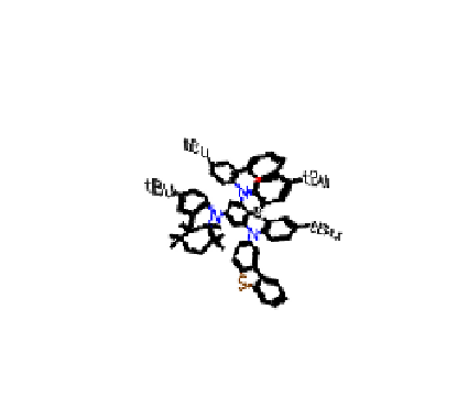 CC(C)(C)c1ccc2c(c1)B1c3cc(C(C)(C)C)ccc3N(c3ccc(C(C)(C)C)cc3-c3ccccc3)c3cc(N4c5ccc(C(C)(C)C)cc5C5(C)C(C)(C)CCC(C)(C)C45C)cc(c31)N2c1ccc2sc3ccccc3c2c1